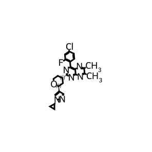 Cc1nc2nc([C@H]3CCO[C@H](c4cnn(C5CC5)c4)C3)nc(-c3ccc(Cl)cc3F)c2nc1C